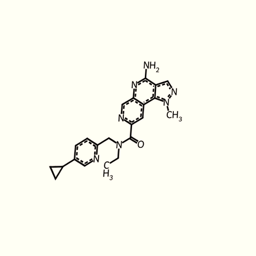 CCN(Cc1ccc(C2CC2)cn1)C(=O)c1cc2c(cn1)nc(N)c1cnn(C)c12